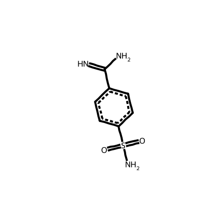 N=C(N)c1ccc(S(N)(=O)=O)cc1